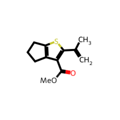 C=C(C)c1sc2c(c1C(=O)OC)CCC2